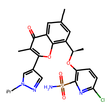 Cc1cc([C@@H](C)Oc2ccc(Cl)nc2S(N)(=O)=O)c2oc(-c3cnn(C(C)C)c3)c(C)c(=O)c2c1